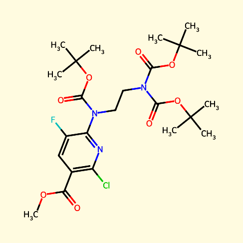 COC(=O)c1cc(F)c(N(CCN(C(=O)OC(C)(C)C)C(=O)OC(C)(C)C)C(=O)OC(C)(C)C)nc1Cl